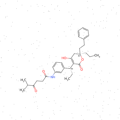 CCC[C@@]1(CCc2ccccc2)CC(O)=C([C@H](CC)c2cccc(NC(=O)CCC(=O)C(C)C)c2)C(=O)O1